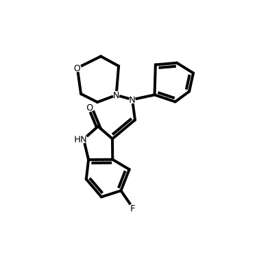 O=C1Nc2ccc(F)cc2C1=CN(c1ccccc1)N1CCOCC1